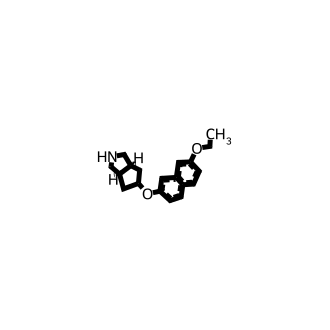 CCOc1ccc2ccc(OC3C[C@H]4CNC[C@H]4C3)cc2c1